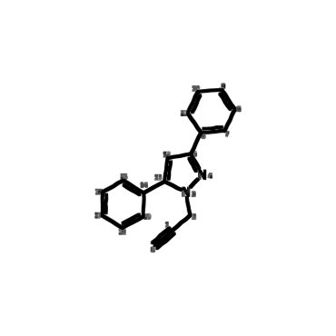 C#CCn1nc(-c2ccccc2)cc1-c1ccccc1